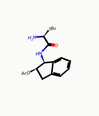 CC(=O)O[C@@H]1Cc2ccccc2[C@@H]1NC(=O)[C@@H](N)C(C)(C)C